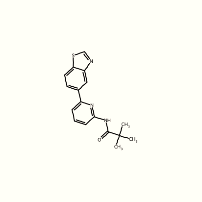 CC(C)(C)C(=O)Nc1cccc(-c2ccc3scnc3c2)n1